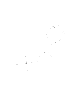 O=C(/C=C/C(F)(F)F)c1ccccc1